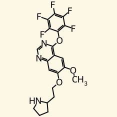 COc1cc2c(Oc3c(F)c(F)c(F)c(F)c3F)ncnc2cc1OCCC1CCCN1